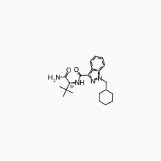 CC(C)(C)[C@H](NC(=O)c1nn(CC2CCCCC2)c2ccccc12)C(N)=O